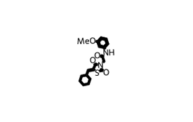 COc1cccc(NC(=O)CN2C(=O)S/C(=C\C3CCCCC3)C2=O)c1